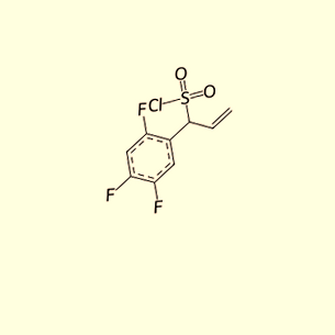 C=CC(c1cc(F)c(F)cc1F)S(=O)(=O)Cl